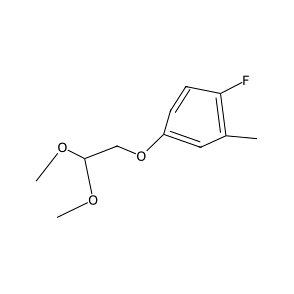 COC(COc1ccc(F)c(C)c1)OC